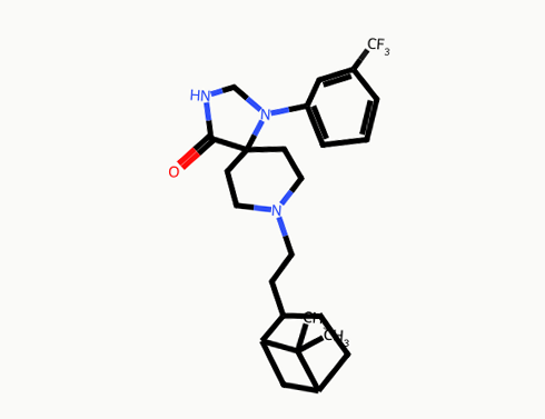 CC1(C)C2CCC(CCN3CCC4(CC3)C(=O)NCN4c3cccc(C(F)(F)F)c3)C1C2